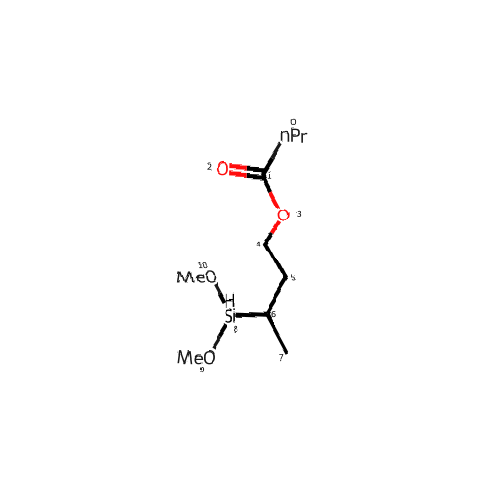 CCCC(=O)OCCC(C)[SiH](OC)OC